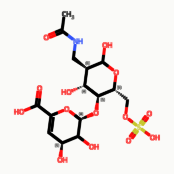 CC(=O)NC[C@H]1C(O)O[C@H](COS(=O)(=O)O)[C@@H](O[C@@H]2OC(C(=O)O)=C[C@H](O)C2O)[C@@H]1O